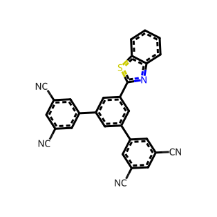 N#Cc1cc(C#N)cc(-c2cc(-c3cc(C#N)cc(C#N)c3)cc(-c3nc4ccccc4s3)c2)c1